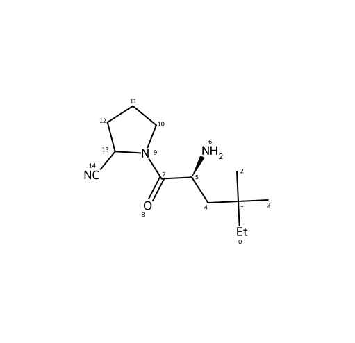 CCC(C)(C)C[C@H](N)C(=O)N1CCCC1C#N